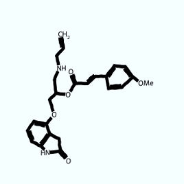 C=CCNCC(COc1cccc2c1CC(=O)N2)OC(=O)C=Cc1ccc(OC)cc1